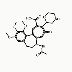 COc1cc2c(c(OC)c1OC)-c1cc(C(=O)O)c(C3CNCCO3)c(=O)cc1[C@@H](NC(C)=O)CC2